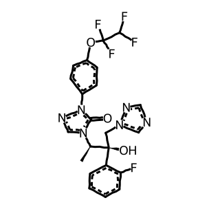 C[C@@H](n1cnn(-c2ccc(OC(F)(F)C(F)F)cc2)c1=O)[C@](O)(Cn1cncn1)c1ccccc1F